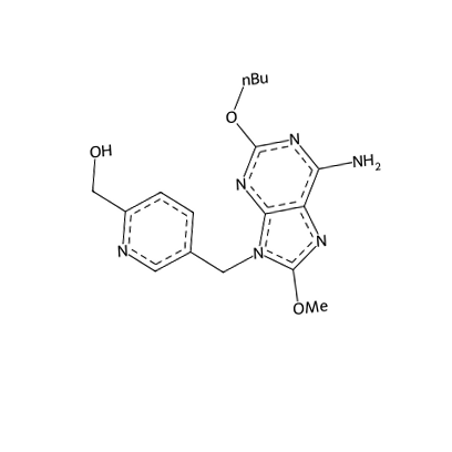 CCCCOc1nc(N)c2nc(OC)n(Cc3ccc(CO)nc3)c2n1